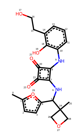 Cc1ccc(C(Nc2c(Nc3cccc(CCO)c3O)c(=O)c2=O)C2(C)COC2)o1